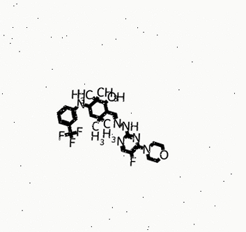 CC1(C)CC(Nc2cccc(C(F)(F)F)c2)C(C)(C)C(O)C1/C=N/Nc1ncc(F)c(N2CCOCC2)n1